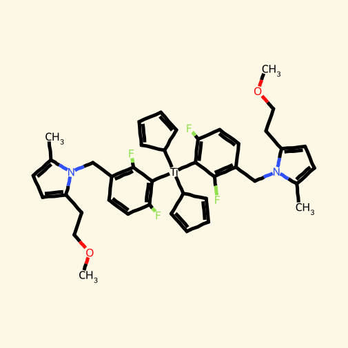 COCCc1ccc(C)n1Cc1ccc(F)[c]([Ti]([c]2c(F)ccc(Cn3c(C)ccc3CCOC)c2F)([CH]2C=CC=C2)[CH]2C=CC=C2)c1F